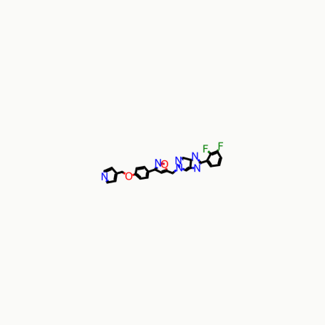 Fc1cccc(-c2nc3cnn(Cc4cc(-c5ccc(OCc6ccncc6)cc5)no4)cc-3n2)c1F